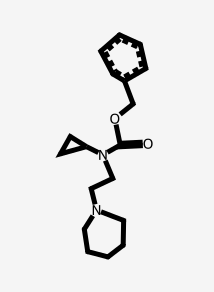 O=C(OCc1ccccc1)N(CCN1CCCCC1)C1CC1